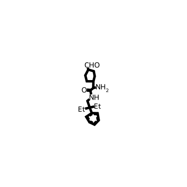 CCC(CC)(CNC(=O)C(N)C1CCC(C=O)CC1)c1ccccc1